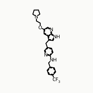 FC(F)(F)c1ccc(CNc2ccc(Cc3c[nH]c4ncc(OCCN5CCCC5)cc34)cn2)cc1